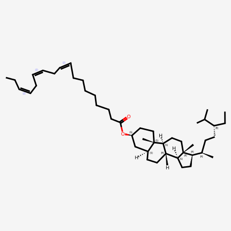 CC/C=C\C/C=C\C/C=C\CCCCCCCC(=O)O[C@H]1CC[C@@]2(C)[C@@H](CC[C@@H]3[C@@H]2CC[C@]2(C)[C@@H]([C@H](C)CC[C@@H](CC)C(C)C)CC[C@@H]32)C1